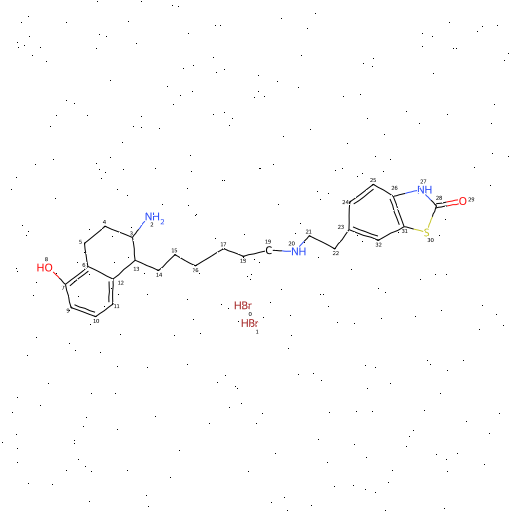 Br.Br.NC1CCc2c(O)cccc2C1CCCCCCNCCc1ccc2[nH]c(=O)sc2c1